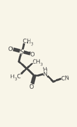 CC(C)(CS(C)(=O)=O)C(=O)NCC#N